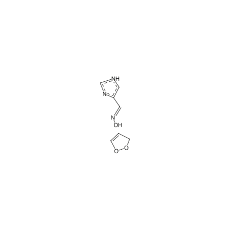 C1=COOC1.ON=Cc1c[nH]cn1